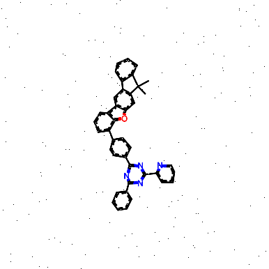 CC1(C)c2ccccc2-c2cc3c(cc21)oc1c(-c2ccc(-c4nc(-c5ccccc5)nc(-c5ccccn5)n4)cc2)cccc13